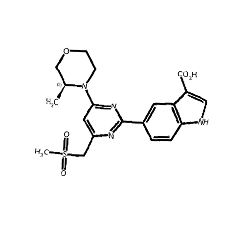 C[C@H]1COCCN1c1cc(CS(C)(=O)=O)nc(-c2ccc3[nH]cc(C(=O)O)c3c2)n1